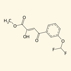 COC(=O)/C(O)=C/C(=O)c1cccc(OC(F)F)c1